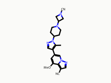 COc1cc(-c2cnn(C3CCN(C4CN(C#N)C4)CC3)c2C)cn2ncc(C#N)c12